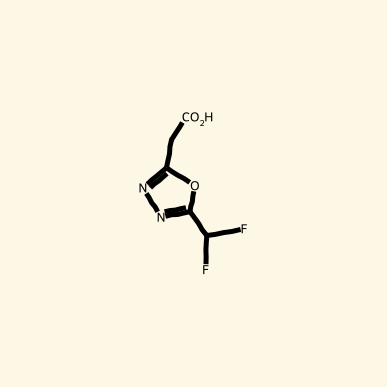 O=C(O)Cc1nnc(C(F)F)o1